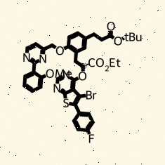 CCOC(=O)[C@@H](Cc1cc(CCC(=O)OC(C)(C)C)ccc1OCc1ccnc(-c2ccccc2OC)n1)Oc1ncnc2sc(-c3ccc(F)cc3)c(Br)c12